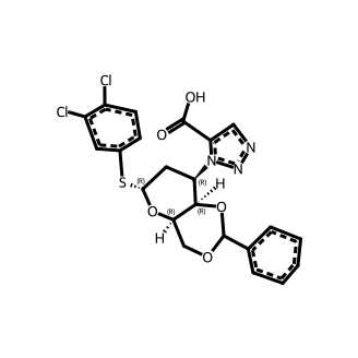 O=C(O)c1cnnn1[C@@H]1C[C@@H](Sc2ccc(Cl)c(Cl)c2)O[C@@H]2COC(c3ccccc3)O[C@H]12